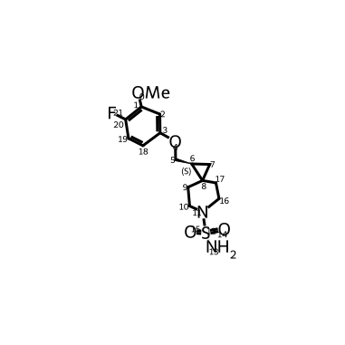 COc1cc(OC[C@H]2CC23CCN(S(N)(=O)=O)CC3)ccc1F